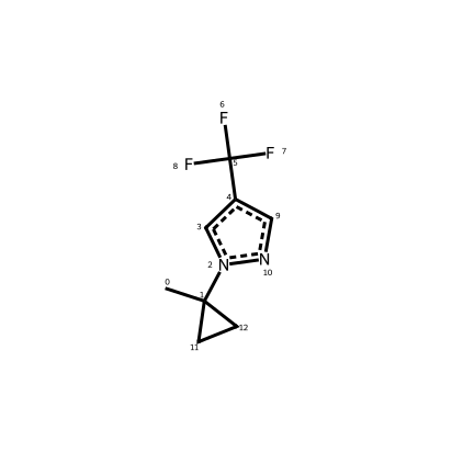 CC1(n2cc(C(F)(F)F)cn2)CC1